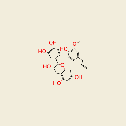 C=CCc1ccc(O)c(OC)c1.Oc1cc(O)c2c(c1)O[C@H](c1ccc(O)c(O)c1)[C@@H](O)C2